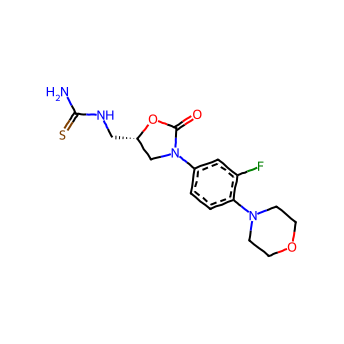 NC(=S)NC[C@H]1CN(c2ccc(N3CCOCC3)c(F)c2)C(=O)O1